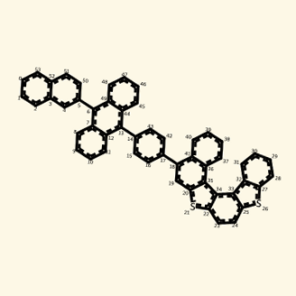 c1ccc2cc(-c3c4ccccc4c(-c4ccc(-c5cc6sc7ccc8sc9ccccc9c8c7c6c6ccccc56)cc4)c4ccccc34)ccc2c1